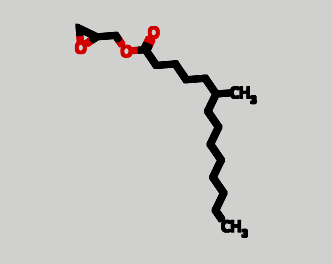 CCCCCCCCC(C)CCCCC(=O)OCC1CO1